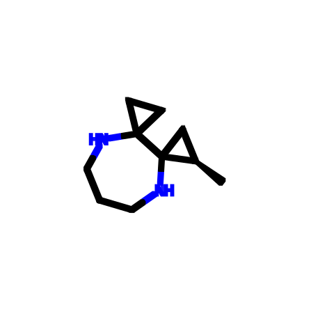 C[C@@H]1CC12NCCCNC21CC1